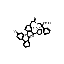 CCOC(=O)C(COC(=O)Cc1ccc(NC(=O)c2ccccc2-c2ccc(C(F)(F)F)cc2)c(C(=O)N2CCCC2)c1)(C(=O)OCC)c1ccccc1